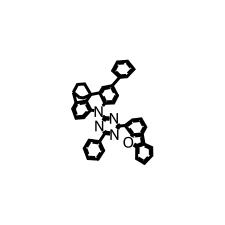 c1ccc(-c2ccc3c(c2)C24CCC(CC2)c2cccc(c24)N3c2nc(-c3ccccc3)nc(-c3cccc4c3oc3ccccc34)n2)cc1